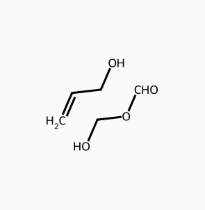 C=CCO.O=COCO